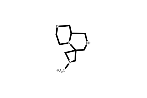 O=C(O)N1CC2(CNCC3COCCN32)C1